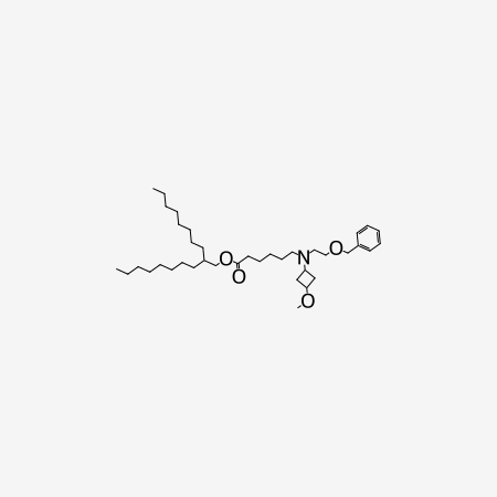 CCCCCCCCC(CCCCCCCC)COC(=O)CCCCCN(CCOCc1ccccc1)C1CC(OC)C1